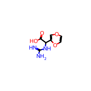 N=C(N)NC(C(=O)O)C1=COC=CO1